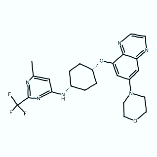 Cc1cc(N[C@H]2CC[C@@H](Oc3cc(N4CCOCC4)cc4nccnc34)CC2)nc(C(F)(F)F)n1